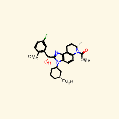 COC(=O)N1c2ccc3c(nc([C@H](O)c4cc(F)ccc4OC)n3C3CCC[C@@H](C(=O)O)C3)c2CC[C@@H]1C